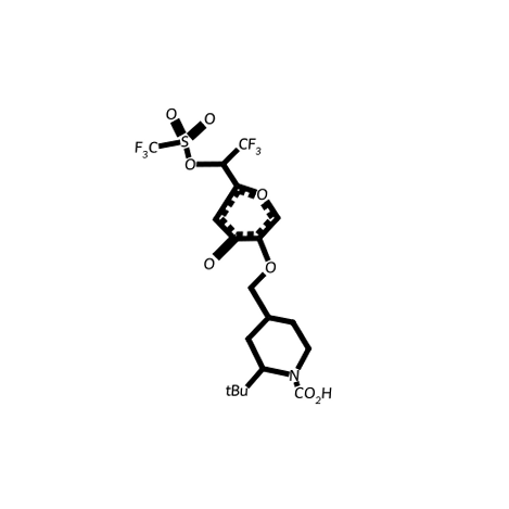 CC(C)(C)C1CC(COc2coc(C(OS(=O)(=O)C(F)(F)F)C(F)(F)F)cc2=O)CCN1C(=O)O